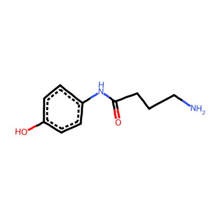 NCCCC(=O)Nc1ccc(O)cc1